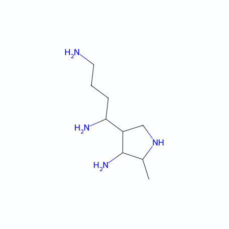 CC1NCC(C(N)CCCN)C1N